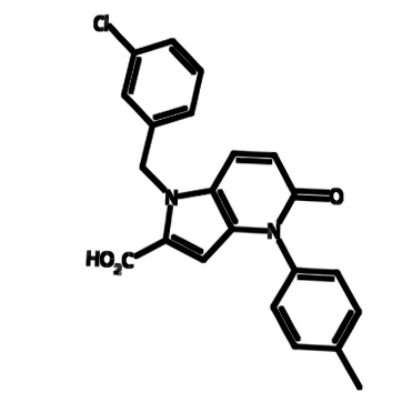 Cc1ccc(-n2c(=O)ccc3c2cc(C(=O)O)n3Cc2cccc(Cl)c2)cc1